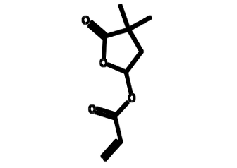 C=CC(=O)OC1CC(C)(C)C(=O)O1